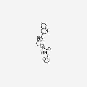 O=C(NCC1CCCO1)N1CC2(CCn3nc(-c4cnc5ccccc5c4)cc32)C1